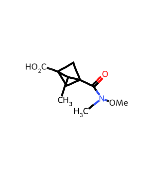 CON(C)C(=O)C12CC(C(=O)O)(C1)C2C